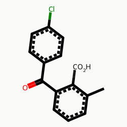 Cc1cccc(C(=O)c2ccc(Cl)cc2)c1C(=O)O